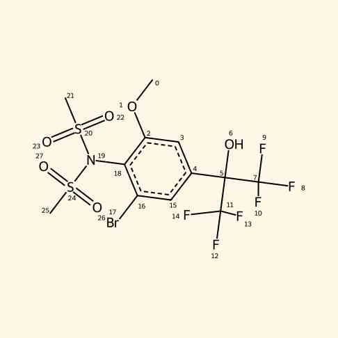 COc1cc(C(O)(C(F)(F)F)C(F)(F)F)cc(Br)c1N(S(C)(=O)=O)S(C)(=O)=O